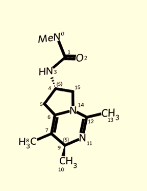 CNC(=O)N[C@H]1CC2=C(C)[C@H](C)N=C(C)N2C1